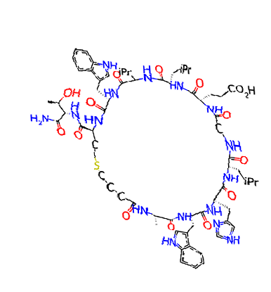 CC(C)C[C@@H]1NC(=O)[C@H](Cc2c[nH]cn2)NC(=O)[C@H](Cc2c[nH]c3ccccc23)NC(=O)[C@H](C)NC(=O)CCCSCC[C@@H](C(=O)N[C@H](C(N)=O)[C@@H](C)O)NC(=O)[C@H](Cc2c[nH]c3ccccc23)NC(=O)C(C(C)C)NC(=O)[C@H](CC(C)C)NC(=O)[C@H](CCC(=O)O)NC(=O)CNC1=O